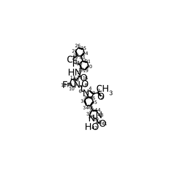 CC(=O)c1cn(CC(=O)N2C[C@H](F)C[C@H]2C(=O)Nc2cccc(-c3ccccc3Cl)c2F)c2ccc(-c3cnc(C(=O)O)nc3)cc12